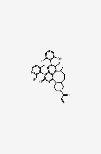 C=CC(=O)N1CCN2c3nc(=O)n(-c4c(C)ccnc4C(C)C)c4cc(-c5c(O)cccc5F)c(F)c(c34)N(C)CCC2C1